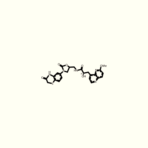 COc1ccc2nccc(C[C@@H](O)C(=O)NCC3CN(c4ccc5c(c4)NC(=O)CS5)C(=O)O3)c2n1